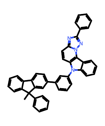 CC1(c2ccccc2)c2ccccc2-c2ccc(-c3cccc(-n4c5ccccc5c5c4ccc4nc(-c6ccccc6)nn45)c3)cc21